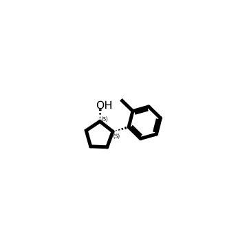 Cc1ccccc1[C@@H]1CCC[C@@H]1O